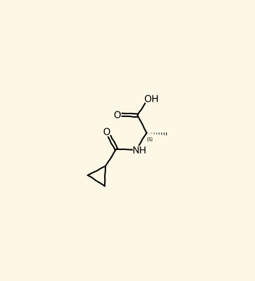 C[C@H](NC(=O)C1CC1)C(=O)O